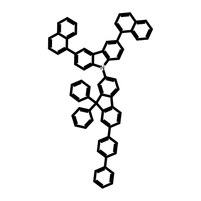 c1ccc(-c2ccc(-c3ccc4c(c3)C(c3ccccc3)(c3ccccc3)c3cc(-n5c6ccc(-c7cccc8ccccc78)cc6c6cc(-c7cccc8ccccc78)ccc65)ccc3-4)cc2)cc1